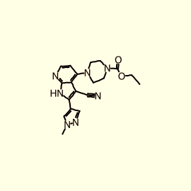 CCOC(=O)N1CCN(c2ccnc3[nH]c(-c4cnn(C)c4)c(C#N)c23)CC1